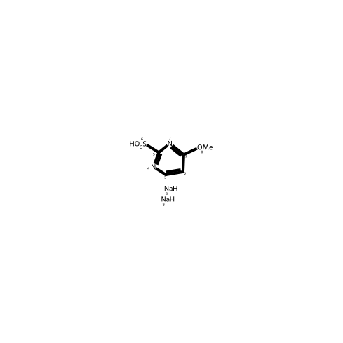 COc1ccnc(S(=O)(=O)O)n1.[NaH].[NaH]